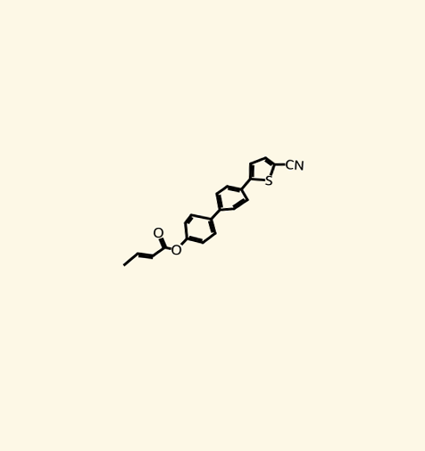 CC=CC(=O)Oc1ccc(-c2ccc(-c3ccc(C#N)s3)cc2)cc1